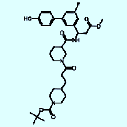 COC(=O)C[C@@H](NC(=O)C1CCCN(C(=O)CCC2CCN(C(=O)OC(C)(C)C)CC2)C1)c1cc(F)cc(-c2ccc(O)cc2)c1